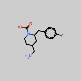 NCC1CCN(C(=O)O)C(Cc2ccc(Cl)cc2)C1